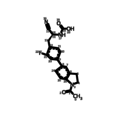 CC(=O)N1CCc2cc(-c3ccc(C[C@@H](C#N)NC(=O)O)c(F)c3)ccc21